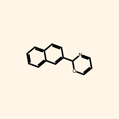 C1=COC(c2ccc3ccccc3c2)N=C1